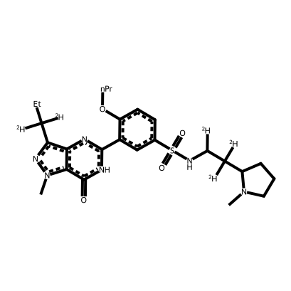 [2H]C(NS(=O)(=O)c1ccc(OCCC)c(-c2nc3c(C([2H])([2H])CC)nn(C)c3c(=O)[nH]2)c1)C([2H])([2H])C1CCCN1C